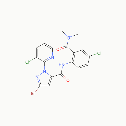 CN(C)C(=O)c1cc(Cl)ccc1NC(=O)c1cc(Br)nn1-c1ncccc1Cl